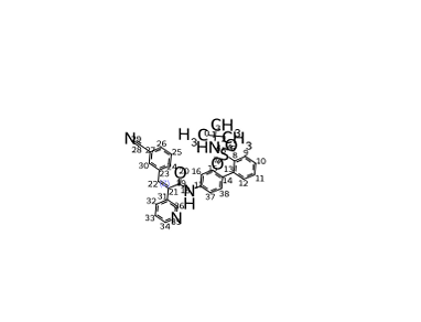 CC(C)(C)NS(=O)(=O)c1ccccc1-c1ccc(NC(=O)/C(=C\c2cccc(C#N)c2)c2cccnc2)cc1